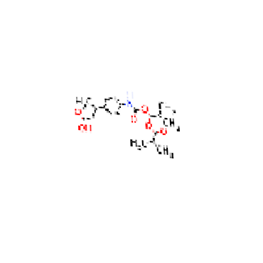 CC(C)C(=O)O[C@@H](OC(=O)Nc1ccc([C@H](C)CC(=O)O)cc1)C(C)C